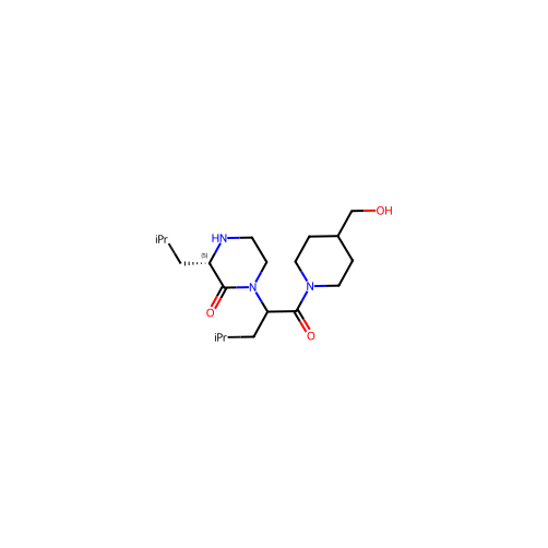 CC(C)CC(C(=O)N1CCC(CO)CC1)N1CCN[C@@H](CC(C)C)C1=O